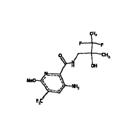 COc1nc(C(=O)NCC(C)(O)C(C)(F)F)c(N)cc1C(F)(F)F